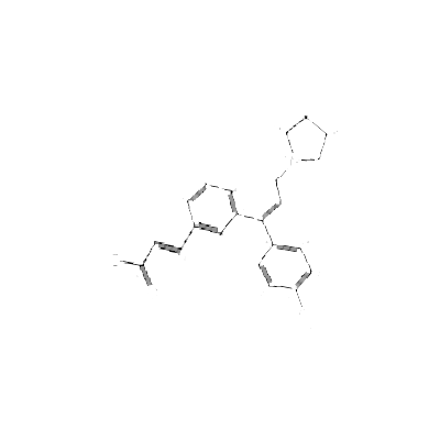 O=C(O)/C=C/c1cccc(/C(=C\CN2CCCC2)c2ccc(Cl)cc2)c1